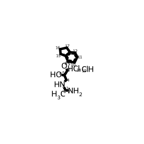 CC(N)NCC(O)COc1cccc2c1CCC2.Cl.Cl